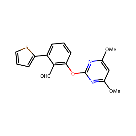 COc1cc(OC)nc(Oc2cccc(-c3cccs3)c2C=O)n1